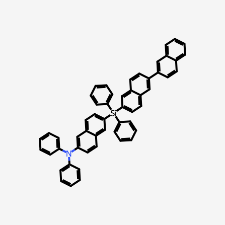 c1ccc(N(c2ccccc2)c2ccc3cc([Si](c4ccccc4)(c4ccccc4)c4ccc5cc(-c6ccc7ccccc7c6)ccc5c4)ccc3c2)cc1